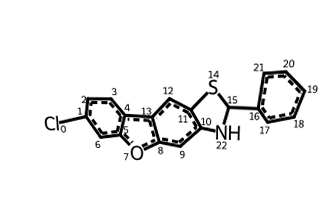 Clc1ccc2c(c1)oc1cc3c(cc12)SC(c1ccccc1)N3